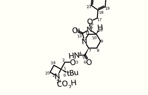 CC(C)(C)[C@]1(CONC(=O)[C@@H]2CC[C@@H]3CN2C(=O)N3OCc2ccccc2)CCN1C(=O)O